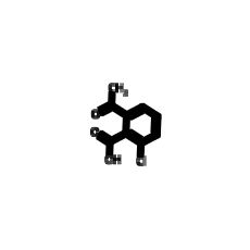 CC(=O)c1cccc(Cl)c1C(=O)O